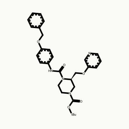 CC(C)(C)OC(=O)N1CCN(C(=O)Nc2ccc(OCc3ccccc3)cc2)[C@@H](COc2cccnc2)C1